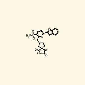 NS(=O)(=O)c1ccc(-c2cc3ccccc3o2)nc1CC1CCC2(C1)NC(=O)NC2=O